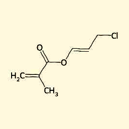 C=C(C)C(=O)OC=CCCl